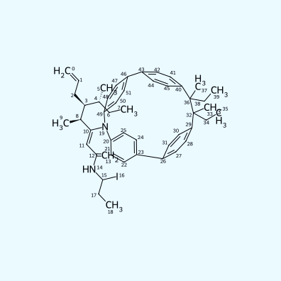 C=CC[C@@H]([C@H](C)CC)[C@H](C)/C(=C/C(=C)NC(I)CC)N1c2ccc(cc2)-c2ccc(cc2)C(C)(CC)C(C)(CC)c2ccc(cc2)-c2ccc1cc2